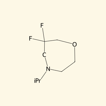 CC(C)N1CCOCC(F)(F)C1